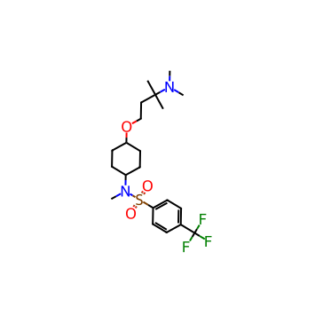 CN(C)C(C)(C)CCOC1CCC(N(C)S(=O)(=O)c2ccc(C(F)(F)F)cc2)CC1